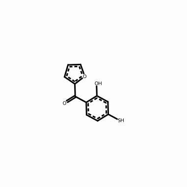 O=C(c1ccco1)c1ccc(S)cc1O